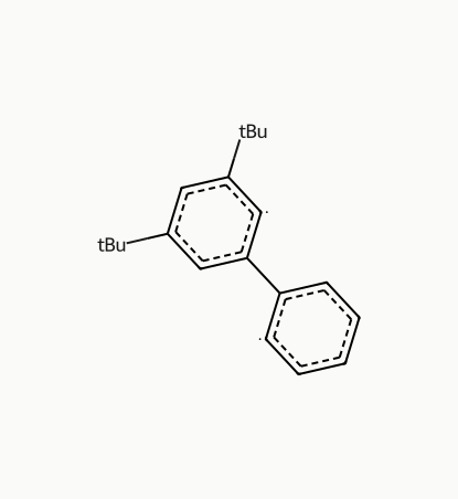 CC(C)(C)c1[c]c(-c2[c]cccc2)cc(C(C)(C)C)c1